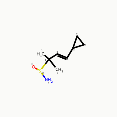 CC(C)(/C=C/C1CC1)[S+](N)[O-]